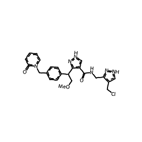 COCC(c1ccc(Cn2ccccc2=O)cc1)c1n[nH]cc1C(=O)NCc1n[nH]cc1CCl